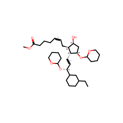 CCC1CCCC([C@@H](/C=C/[C@@H]2[C@@H](C/C=C\CCCC(=O)OC)[C@@H](O)C[C@H]2OC2CCCCO2)OC2CCCCO2)C1